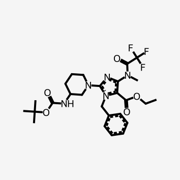 CCOC(=O)c1c(N(C)C(=O)C(F)(F)F)nc(N2CCCC(NC(=O)OC(C)(C)C)C2)n1Cc1ccccc1